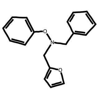 c1ccc(CN(Cc2ccco2)Oc2ccccc2)cc1